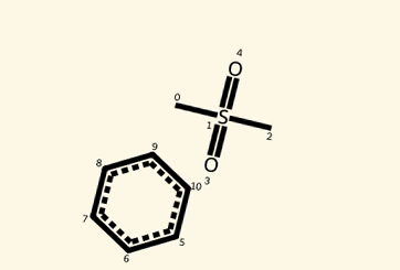 CS(C)(=O)=O.c1ccccc1